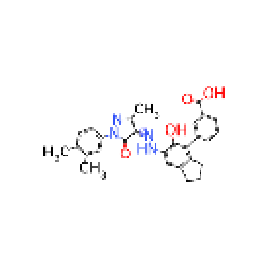 CC1=NN(c2ccc(C)c(C)c2)C(=O)/C1=N\Nc1cc2c(c(-c3cccc(C(=O)O)c3)c1O)CCC2